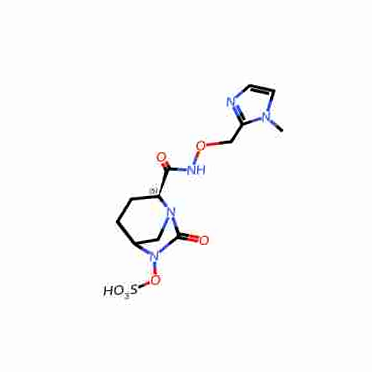 Cn1ccnc1CONC(=O)[C@@H]1CCC2CN1C(=O)N2OS(=O)(=O)O